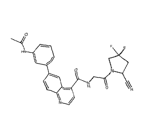 CC(=O)Nc1cccc(-c2ccc3nccc(C(=O)NCC(=O)N4CC(F)(F)CC4C#N)c3c2)c1